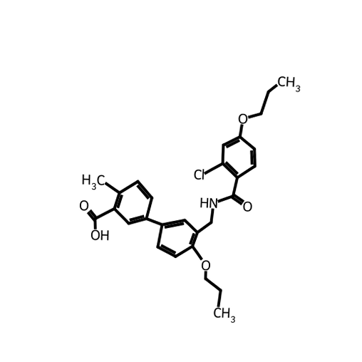 CCCOc1ccc(C(=O)NCc2cc(-c3ccc(C)c(C(=O)O)c3)ccc2OCCC)c(Cl)c1